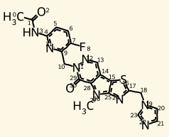 CC(=O)Nc1ccc(F)c(Cn2ncc3c4sc(Cn5ccnc5)nc4n(C)c3c2=O)n1